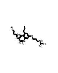 CCCc1cc(OCCCNC(=O)O)cc2nc(N)c3nc(CCOC)[nH]c3c12